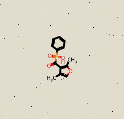 Cc1coc(C)c1C(=O)P(=O)(O)c1ccccc1